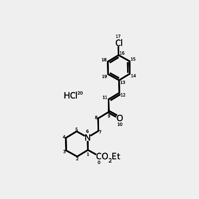 CCOC(=O)C1CCCCN1CCC(=O)C=Cc1ccc(Cl)cc1.Cl